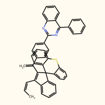 C=C(C1=C(/C=C\C)c2ccccc2C12c1ccccc1Sc1ccccc12)c1ccc(-c2nc(-c3ccccc3)c3ccccc3n2)cc1